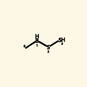 CBSS